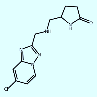 O=C1CCC(CNCc2nc3cc(Cl)ccn3n2)N1